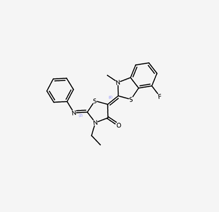 CCN1C(=O)/C(=C2\Sc3c(F)cccc3N2C)S/C1=N\c1ccccc1